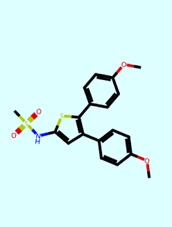 COc1ccc(-c2cc(NS(C)(=O)=O)sc2-c2ccc(OC)cc2)cc1